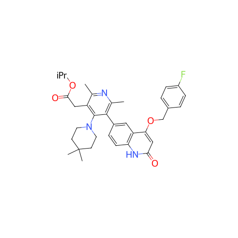 Cc1nc(C)c(-c2ccc3[nH]c(=O)cc(OCc4ccc(F)cc4)c3c2)c(N2CCC(C)(C)CC2)c1CC(=O)OC(C)C